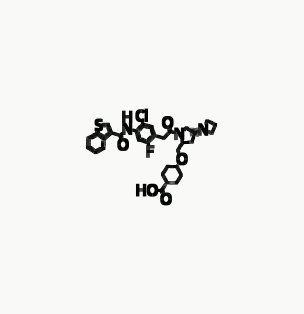 O=C(Nc1cc(F)c(CC(=O)N2C[C@@H](N3CCC3)CC2CO[C@H]2CC[C@H](C(=O)O)CC2)cc1Cl)c1csc2ccccc12